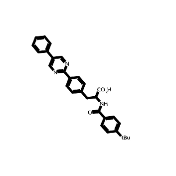 CC(C)(C)c1ccc(C(=O)NC(Cc2ccc(-c3ncc(-c4ccccc4)cn3)cc2)C(=O)O)cc1